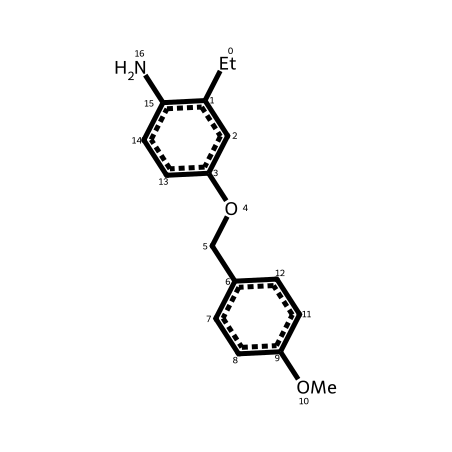 CCc1cc(OCc2ccc(OC)cc2)ccc1N